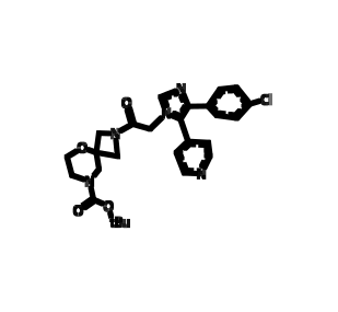 CC(C)(C)OC(=O)N1CCOC2(CN(C(=O)Cn3cnc(-c4ccc(Cl)cc4)c3-c3ccncc3)C2)C1